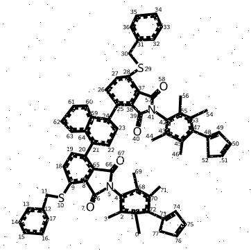 Cc1c(C)c(N2C(=O)c3c(SCc4ccccc4)ccc(-c4ccc(-c5ccc(SCc6ccccc6)c6c5C(=O)N(c5c(C)c(C)c(C7=CC=CC7)c(C)c5C)C6=O)c5ccccc45)c3C2=O)c(C)c(C)c1C1=CC=CC1